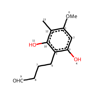 COc1cc(O)c(CCCC=O)c(O)c1C